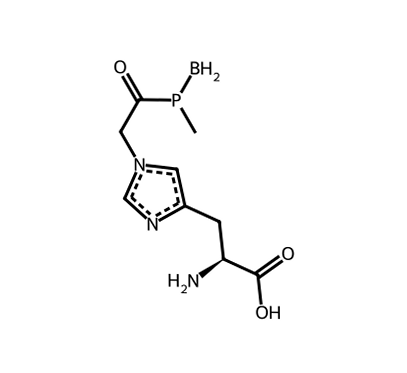 BP(C)C(=O)Cn1cnc(C[C@H](N)C(=O)O)c1